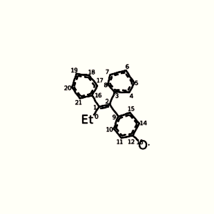 CCC(=C(c1ccccc1)c1ccc([O])cc1)c1ccccc1